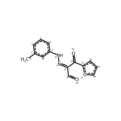 Cc1cccc(NN=C(C=O)C(=O)c2ccco2)c1